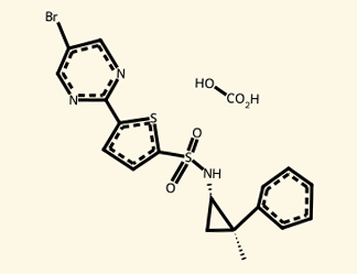 C[C@]1(c2ccccc2)C[C@@H]1NS(=O)(=O)c1ccc(-c2ncc(Br)cn2)s1.O=C(O)O